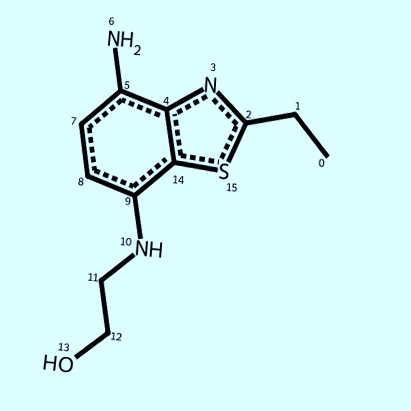 CCc1nc2c(N)ccc(NCCO)c2s1